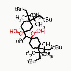 CCCC(C1(OO)CCC(C(C)(C)CC(C)(C)C)(C(C)(C)CC(C)(C)C)CC1)C1(OO)CCC(C(C)(C)CC(C)(C)C)(C(C)(C)CC(C)(C)C)CC1